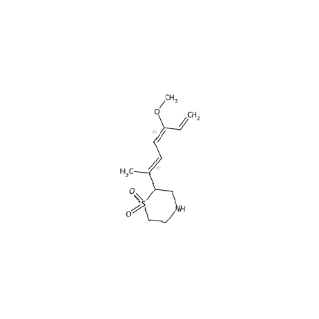 C=C/C(=C\C=C(/C)C1CNCCS1(=O)=O)OC